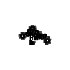 O=C(NC(C(=O)O[C@H]1C[N+]2(CC(=O)c3ccccc3)CCC1CC2)c1ccccc1)OCc1ccccc1.[Br-]